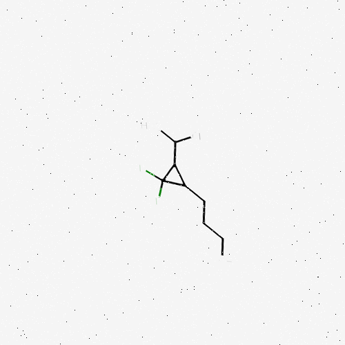 CCCCC1C(C(C)C)C1(F)F